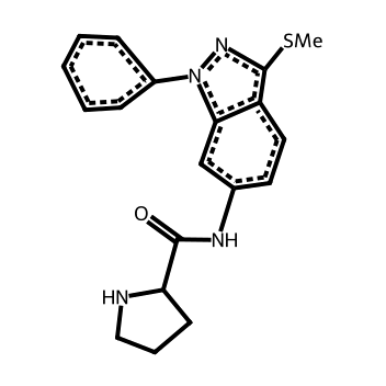 CSc1nn(-c2ccccc2)c2cc(NC(=O)C3CCCN3)ccc12